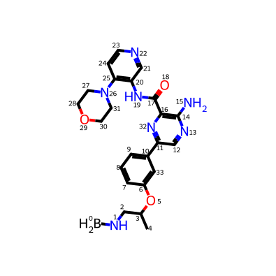 BNCC(C)Oc1cccc(-c2cnc(N)c(C(=O)Nc3cnccc3N3CCOCC3)n2)c1